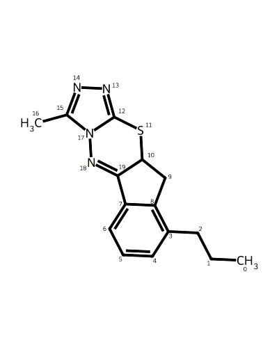 CCCc1cccc2c1CC1Sc3nnc(C)n3N=C21